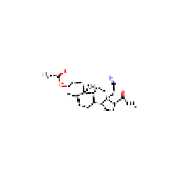 CC(=O)O[C@H]1CC[C@@]2(C)C(=CCC3C4CC[C@H](C(C)=O)[C@@]4(CC#N)CCC32)C1